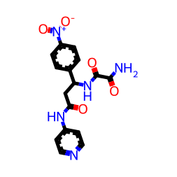 NC(=O)C(=O)NC(CC(=O)Nc1ccncc1)c1ccc([N+](=O)[O-])cc1